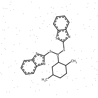 CC1CCC(C)C(N(Sc2nc3ccccc3s2)Sc2nc3ccccc3s2)C1